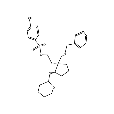 Cc1ccc(S(=O)(=O)OCC[C@]2(COCc3ccccc3)CCC[C@H]2OC2CCCCO2)cc1